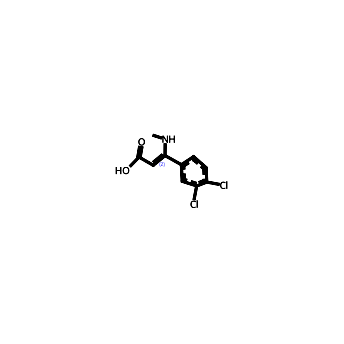 CN/C(=C\C(=O)O)c1ccc(Cl)c(Cl)c1